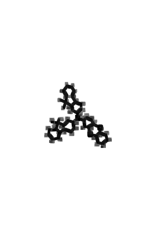 CC1(C)c2ccccc2-c2ccc(N(c3ccc4c(c3)Oc3ccccc3O4)c3ccc4c(c3)C(C)(C)c3ccccc3-4)cc21